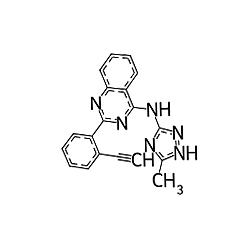 C#Cc1ccccc1-c1nc(Nc2n[nH]c(C)n2)c2ccccc2n1